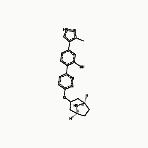 Cc1n[nH]cc1-c1ccc(-c2ccc(OC3C[C@H]4CC[C@@H](C3)N4)nn2)c(O)c1